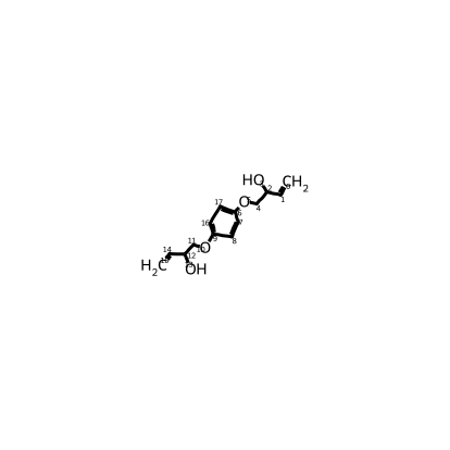 C=CC(O)COc1ccc(OCC(O)C=C)cc1